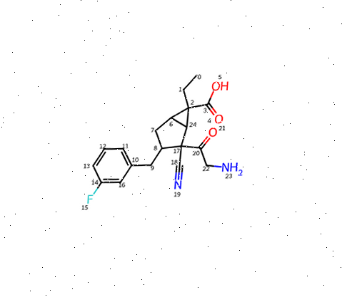 CCC1(C(=O)O)C2CC(Cc3cccc(F)c3)C(C#N)(C(=O)CN)C21